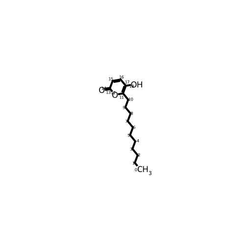 CCCCCCCCCCCc1oc(=O)ccc1O